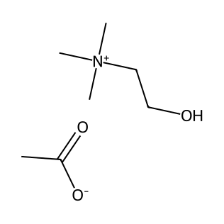 CC(=O)[O-].C[N+](C)(C)CCO